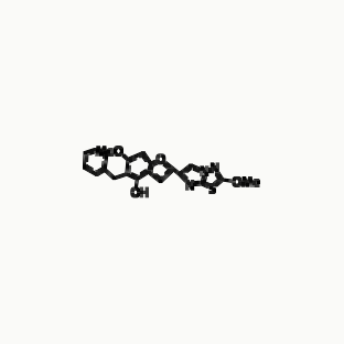 COc1nn2cc(-c3cc4c(O)c(Cc5ccccc5)c(OC)cc4o3)nc2s1